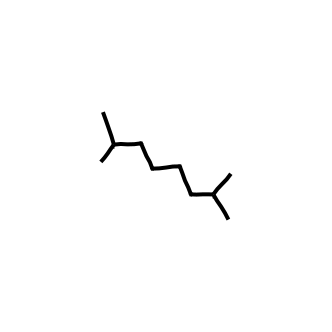 C[C](C)CCCC[C](C)C